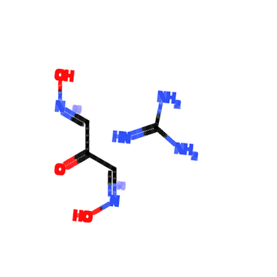 N=C(N)N.O=C(/C=N\O)/C=N/O